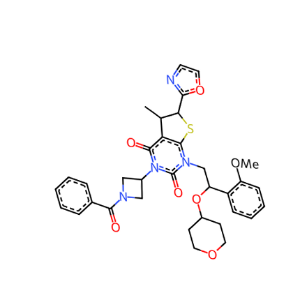 COc1ccccc1C(Cn1c2c(c(=O)n(C3CN(C(=O)c4ccccc4)C3)c1=O)C(C)C(c1ncco1)S2)OC1CCOCC1